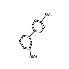 COc1cccc(-c2ccc(OC(C)=O)cc2)c1